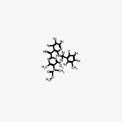 [2H]c1nc(NC([2H])([2H])c2c([2H])c(C)c([2H])c([2H])c2F)c(C(=N)c2nc(C)c(N(C)C(=O)OC)c(C)n2)c([2H])c1[2H]